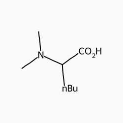 CCCCC(C(=O)O)N(C)C